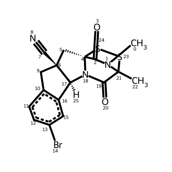 CN1C(=O)[C@@]23C[C@@]4(C#N)Cc5ccc(Br)cc5[C@@H]4N2C(=O)C1(C)SS3